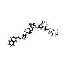 Cn1cc(NC(=O)c2cc(NC(=O)c3csc(C=Cc4ccc5ccccc5n4)n3)cn2C)cc1C(=O)NCCN1CCOCC1